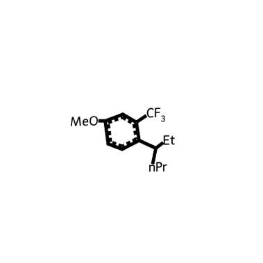 CCCC(CC)c1ccc(OC)cc1C(F)(F)F